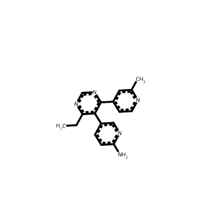 CCc1ncnc(-c2ccnc(C)c2)c1-c1ccc(N)nc1